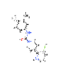 Cc1cc(NC(=O)N2CC=C(c3ncccc3F)CC2)ccc1C(F)(F)F